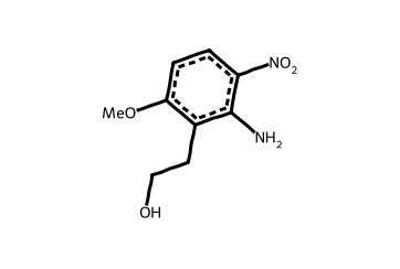 COc1ccc([N+](=O)[O-])c(N)c1CCO